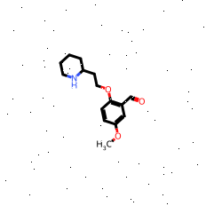 COc1ccc(OCCC2CCCCN2)c(C=O)c1